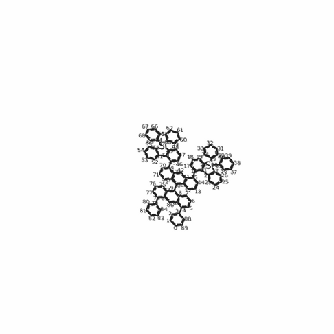 c1ccc(-c2cccc3c(-c4c5cccc(-c6cccc7c6-c6ccccc6[Si]7(c6ccccc6)c6ccccc6)c5cc5c(-c6cccc7c6-c6ccccc6[Si]7(c6ccccc6)c6ccccc6)cccc45)c4cccc(-c5ccccc5)c4cc23)cc1